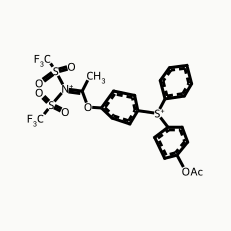 CC(=O)Oc1ccc([S+](c2ccccc2)c2ccc(OC(C)=[N+](S(=O)(=O)C(F)(F)F)S(=O)(=O)C(F)(F)F)cc2)cc1